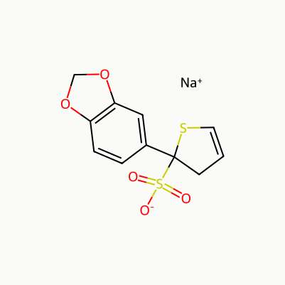 O=S(=O)([O-])C1(c2ccc3c(c2)OCO3)CC=CS1.[Na+]